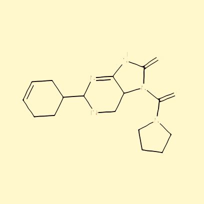 O=C1NC2=NC(C3CC=CCC3)NCC2N1C(=O)N1CCCC1